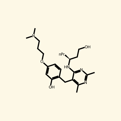 CCC[C@@H](CCO)Nc1nc(C)nc(C)c1Cc1ccc(OCCCN(C)C)cc1O